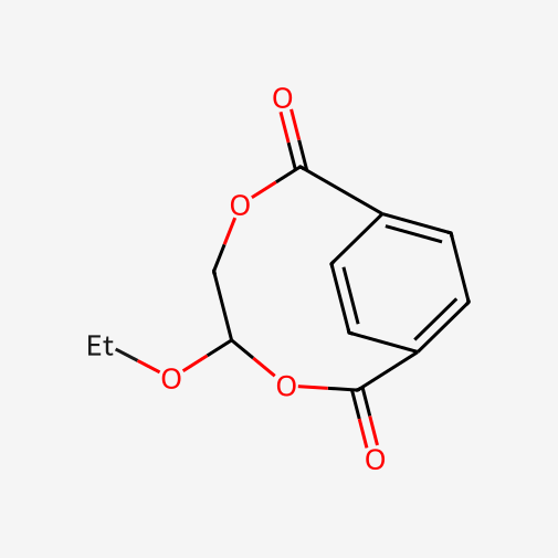 CCOC1COC(=O)c2ccc(cc2)C(=O)O1